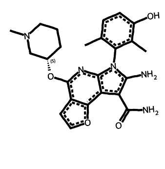 Cc1ccc(O)c(C)c1-n1c(N)c(C(N)=O)c2c3occc3c(O[C@H]3CCCN(C)C3)nc21